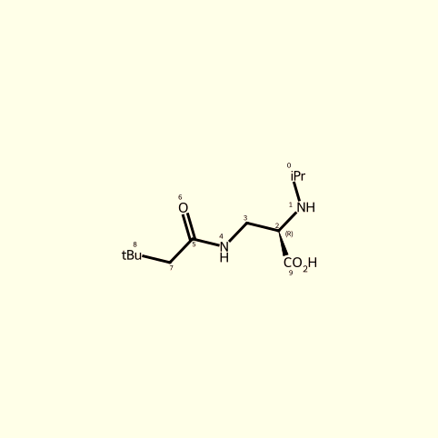 CC(C)N[C@H](CNC(=O)CC(C)(C)C)C(=O)O